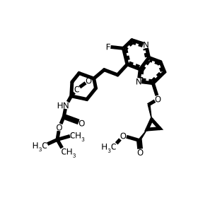 COC(=O)[C@@H]1C[C@@H]1COc1ccc2ncc(F)c(CCC34CCC(NC(=O)OC(C)(C)C)(CC3)CO4)c2n1